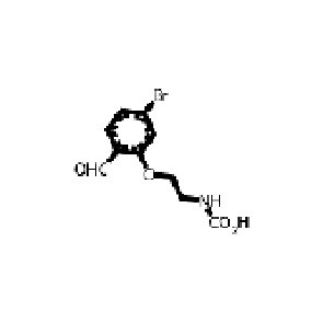 O=Cc1ccc(Br)cc1OCCNC(=O)O